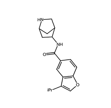 CC(C)c1coc2ccc(C(=O)NC3CC4CC3CN4)cc12